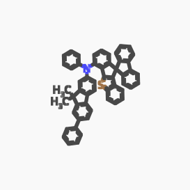 CC1(C)c2cc(-c3ccccc3)ccc2-c2ccc(N(c3ccccc3)c3cccc4c3-c3sc5ccccc5c3C43c4ccccc4-c4ccccc43)cc21